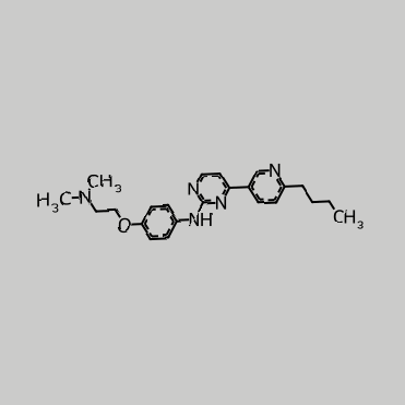 CCCCc1ccc(-c2ccnc(Nc3ccc(OCCN(C)C)cc3)n2)cn1